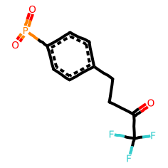 O=C(CCc1ccc(P(=O)=O)cc1)C(F)(F)F